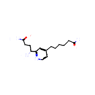 NC(=O)CCCCCc1ccnc([C@@H](N)CCC(N)=O)c1